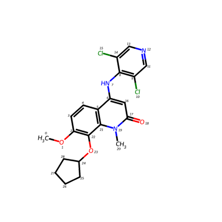 COc1ccc2c(Nc3c(Cl)cncc3Cl)cc(=O)n(C)c2c1OC1CCCC1